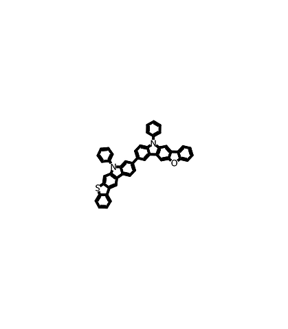 c1ccc(-n2c3cc(-c4ccc5c(c4)c4cc6oc7ccccc7c6cc4n5-c4ccccc4)ccc3c3cc4c(cc32)sc2ccccc24)cc1